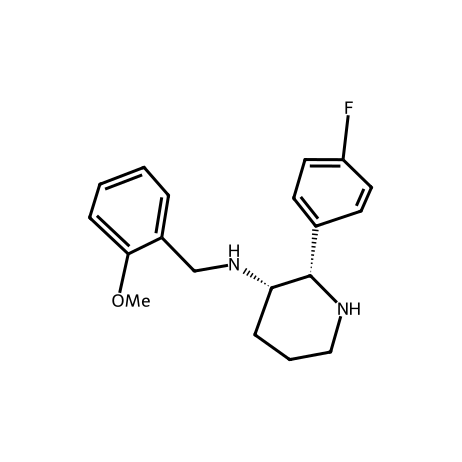 COc1ccccc1CN[C@H]1CCCN[C@H]1c1ccc(F)cc1